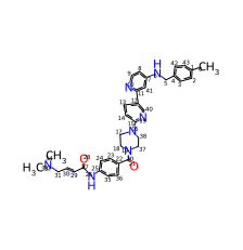 Cc1ccc(CNc2ccnc(-c3ccc(N4CCN(C(=O)c5ccc(NC(=O)/C=C/CN(C)C)cc5)CC4)nc3)c2)cc1